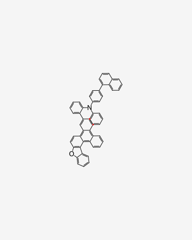 c1ccc(N(c2ccc(-c3cccc4ccccc34)cc2)c2ccccc2-c2ccc3c4ccccc4c4c(ccc5oc6ccccc6c54)c3c2)cc1